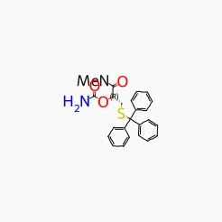 CNC(=O)[C@H](CSC(c1ccccc1)(c1ccccc1)c1ccccc1)OC(N)=O